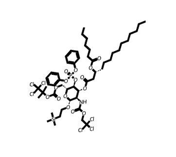 CCCCCCCCCCC[C@H](CC(=O)O[C@@H]1[C@@H](NC(=O)OCC(Cl)(Cl)Cl)[C@H](OCC[Si](C)(C)C)O[C@H](COC(=O)OC(C)(C)C(Cl)(Cl)Cl)[C@H]1OP(=O)(Oc1ccccc1)Oc1ccccc1)OC(=O)CCCCCC